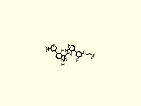 CN(C)CCOc1cc(F)cc(-c2ccnc3[nH]c(-c4n[nH]c5ccc(-c6cncc(N(C)C)c6)cc45)nc23)c1